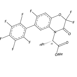 CCC[C@@H](C(=O)OC)N1C(=O)C(F)(F)Oc2cc(F)c(-c3c(F)c(F)c(F)c(F)c3F)cc21